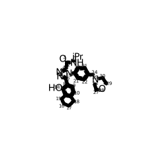 CC(C)NC(=O)c1nnc(-c2ccc3c(c2O)CCCC3)n1-c1ccc(CN2CCOCC2)cc1